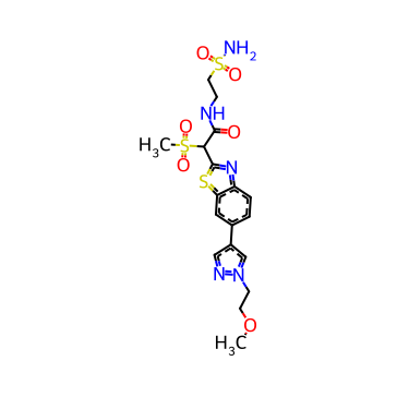 COCCn1cc(-c2ccc3nc(C(C(=O)NCCS(N)(=O)=O)S(C)(=O)=O)sc3c2)cn1